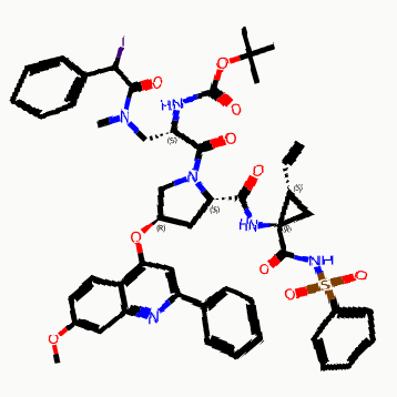 C=C[C@@H]1C[C@]1(NC(=O)[C@@H]1C[C@@H](Oc2cc(-c3ccccc3)nc3cc(OC)ccc23)CN1C(=O)[C@H](CN(C)C(=O)C(I)c1ccccc1)NC(=O)OC(C)(C)C)C(=O)NS(=O)(=O)c1ccccc1